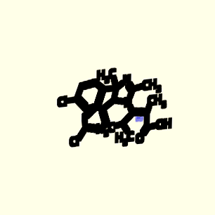 CC1=NC(C)(c2ccc(Cl)cc2)C(c2ccc(Cl)cc2)N1/C(=C(\C)C(=O)O)C(C)C